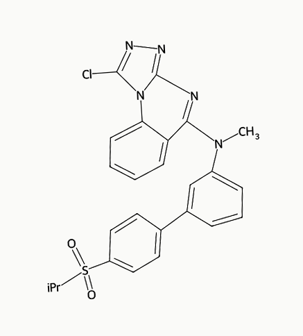 CC(C)S(=O)(=O)c1ccc(-c2cccc(N(C)c3nc4nnc(Cl)n4c4ccccc34)c2)cc1